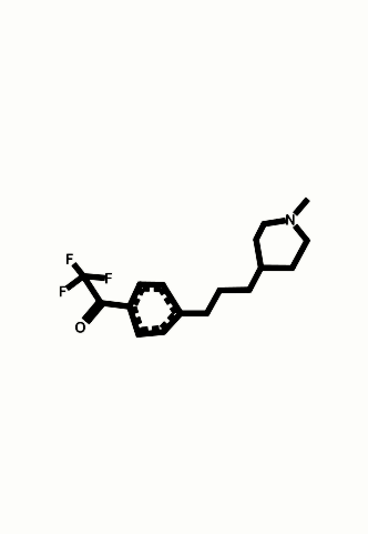 CN1CCC(CCCc2ccc(C(=O)C(F)(F)F)cc2)CC1